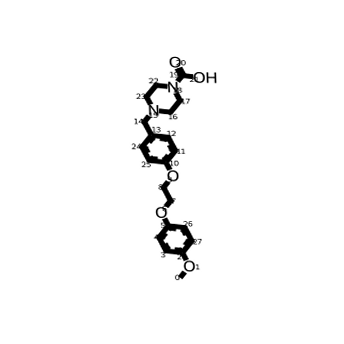 COc1ccc(OCCOc2ccc(CN3CCN(C(=O)O)CC3)cc2)cc1